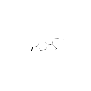 COC([C@H](C)O)N1CCN(C(C)=O)CC1